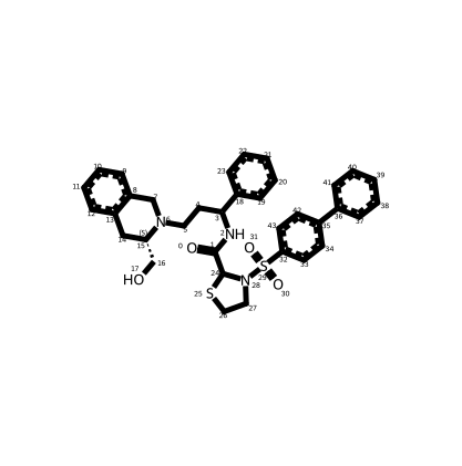 O=C(NC(CCN1Cc2ccccc2C[C@H]1CO)c1ccccc1)C1SCCN1S(=O)(=O)c1ccc(-c2ccccc2)cc1